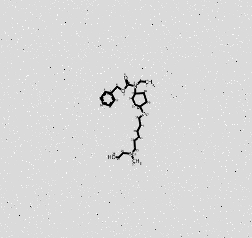 CCN(C(=O)OCc1ccccc1)C1CCC(OCCCCCCN(C)CCO)CC1